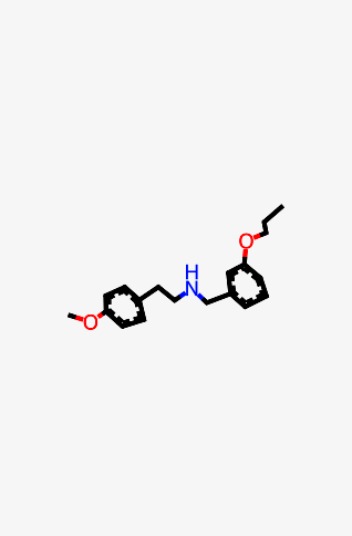 CCCOc1cccc(CNCCc2ccc(OC)cc2)c1